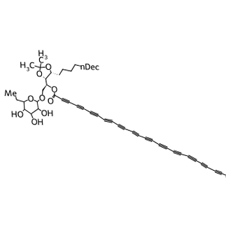 CC#CC#CC#CC#CC#CC#CC#CC#CC#CC#CC#CC#CC(=O)O[C@@H](COC1OC(COC)C(O)C(O)C1O)[C@@H]1OC(C)(C)O[C@@H]1CCCCCCCCCCCCCC